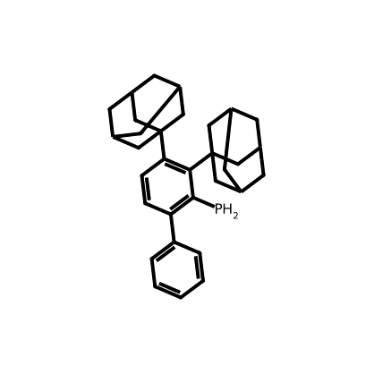 Pc1c(-c2ccccc2)ccc(C23CC4CC(CC(C4)C2)C3)c1C12CC3CC(CC(C3)C1)C2